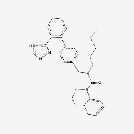 CCCCCN(Cc1ccc(-c2ccccc2-c2nnn[nH]2)cc1)C(=O)N1CCCC2CC=CC=C21